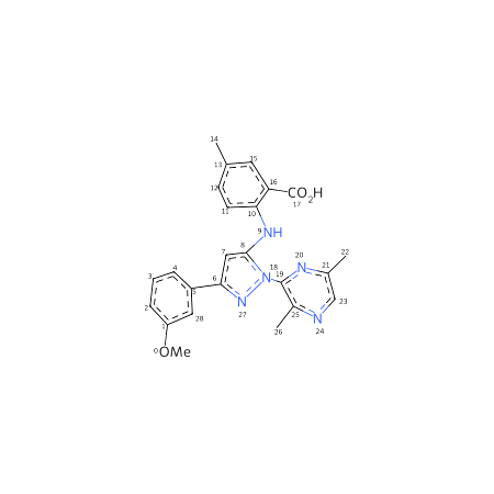 COc1cccc(-c2cc(Nc3ccc(C)cc3C(=O)O)n(-c3nc(C)cnc3C)n2)c1